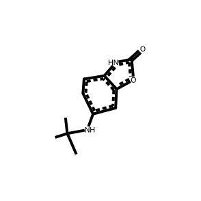 CC(C)(C)Nc1ccc2[nH]c(=O)oc2c1